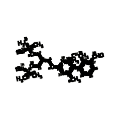 Cc1nc(OCC(CO[Si](C)(C)C(C)(C)C)CO[Si](C)(C)C(C)(C)C)nc(C)c1-c1cccc(C=O)c1C